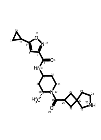 C[C@@H]1CC(NC(=O)c2cc(C3CC3)on2)CCN1C(=O)C1CC2(CCNC2)C1